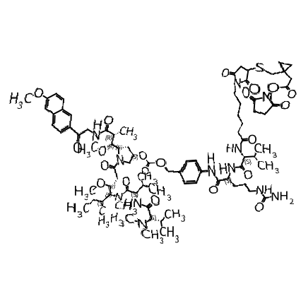 CC[C@H](C)[C@@H]([C@@H](CC(=O)N1C[C@@H](OC(=O)OCc2ccc(NC(=O)[C@H](CCCNC(N)=O)NC(=O)[C@@H](NC(=O)CCCCCN3C(=O)CC(SCC4(CC(=O)ON5C(=O)CCC5=O)CC4)C3=O)C(C)C)cc2)C[C@H]1[C@H](OC)[C@@H](C)C(=O)NCC(=O)c1ccc2cc(OC)ccc2c1)OC)N(C)C(=O)[C@@H](NC(=O)[C@H](C(C)C)N(C)C)C(C)C